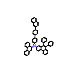 c1ccc(-c2c(-c3ccccc3)c3cc(N(c4ccc(-c5ccc(-c6ccc7ccccc7c6)cc5)cc4)c4cc5ccccc5c5ccccc45)ccc3c3ccccc23)cc1